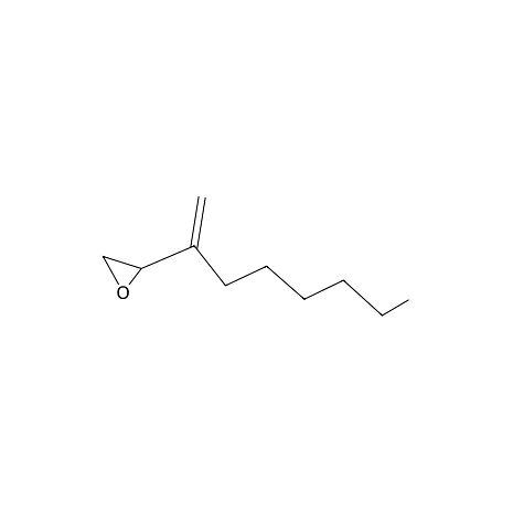 C=C(CCCCCC)C1CO1